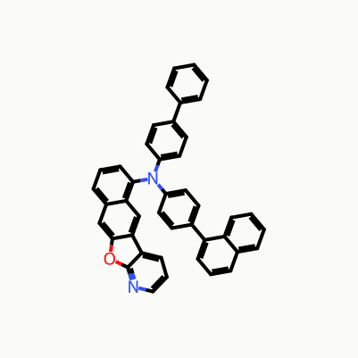 c1ccc(-c2ccc(N(c3ccc(-c4cccc5ccccc45)cc3)c3cccc4cc5oc6ncccc6c5cc34)cc2)cc1